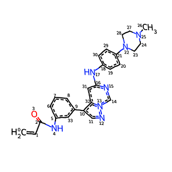 C=CC(=O)Nc1cccc(-c2cnn3cnc(Nc4ccc(N5CCN(C)CC5)cc4)cc23)c1